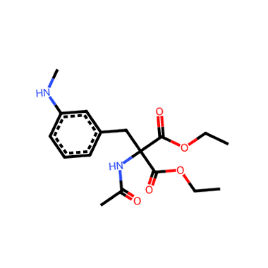 CCOC(=O)C(Cc1cccc(NC)c1)(NC(C)=O)C(=O)OCC